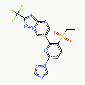 CCS(=O)(=O)c1ccc(-n2cncn2)nc1-c1cnc2nc(C(F)(F)F)nn2c1